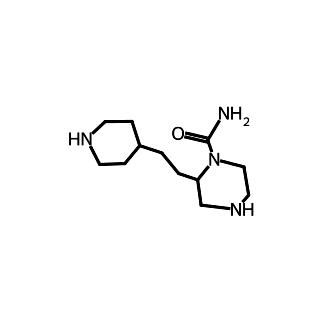 NC(=O)N1CCNCC1CCC1CCNCC1